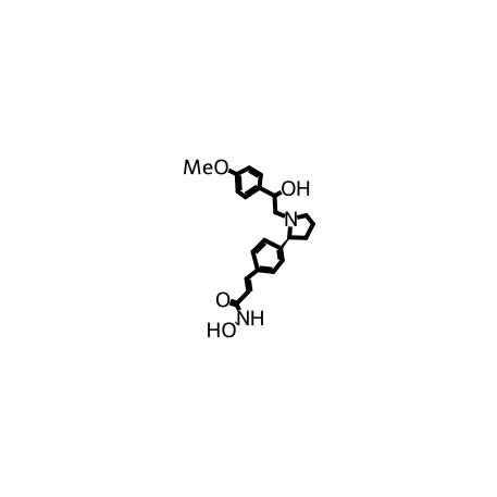 COc1ccc(C(O)CN2CCC[C@H]2c2ccc(/C=C/C(=O)NO)cc2)cc1